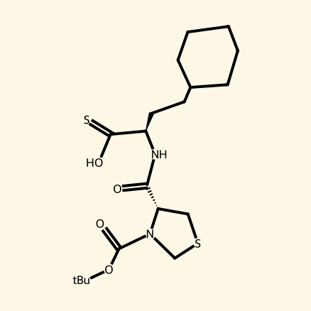 CC(C)(C)OC(=O)N1CSC[C@H]1C(=O)N[C@H](CCC1CCCCC1)C(O)=S